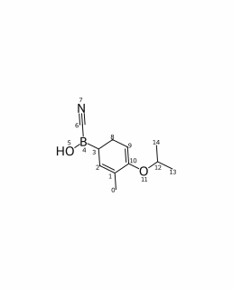 CC1=CC(B(O)C#N)CC=C1OC(C)C